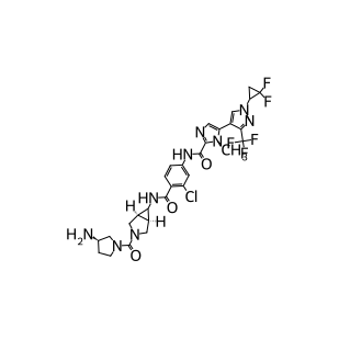 Cn1c(-c2cn(C3CC3(F)F)nc2C(F)(F)F)cnc1C(=O)Nc1ccc(C(=O)NC2[C@H]3CN(C(=O)N4CC[C@@H](N)C4)C[C@@H]23)c(Cl)c1